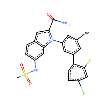 CC(=O)c1cc(-c2ccc(F)cc2F)cc(-n2c(C(N)=O)cc3ccc(NS(C)(=O)=O)cc32)c1